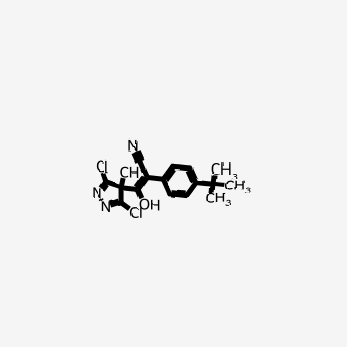 CC1(C(O)=C(C#N)c2ccc(C(C)(C)C)cc2)C(Cl)=NN=C1Cl